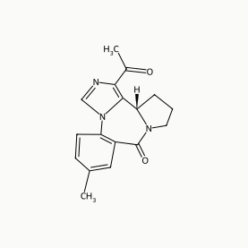 CC(=O)c1ncn2c1[C@@H]1CCCN1C(=O)c1cc(C)ccc1-2